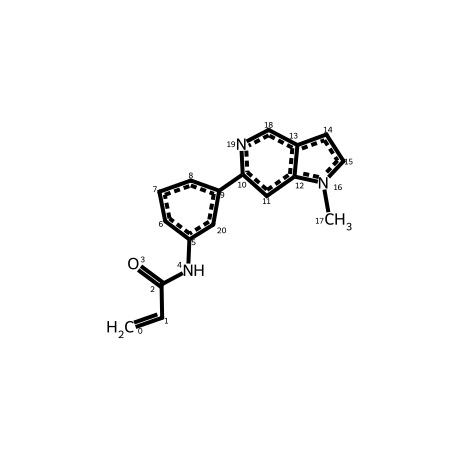 C=CC(=O)Nc1cccc(-c2cc3c(ccn3C)cn2)c1